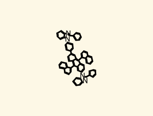 c1ccc(-c2nc3ccccc3n2-c2ccc(-c3ccc4c(-c5cccc6ccccc56)c5cc(-n6c(-c7ccccc7)nc7ccccc76)ccc5c(-c5cccc6ccccc56)c4c3)cc2)cc1